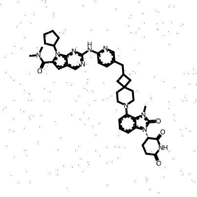 CN(C)C(=O)c1cc2cnc(Nc3ccc(CC4CC5(CCN(c6cccc7c6n(C)c(=O)n7[C@H]6CCC(=O)NC6=O)CC5)C4)cn3)nc2n1C1CCCC1